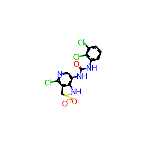 O=C(Nc1cccc(Cl)c1Cl)Nc1cnc(Cl)c2c1NS(=O)(=O)C2